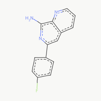 Nc1nc(-c2ccc(F)cc2)cc2cccnc12